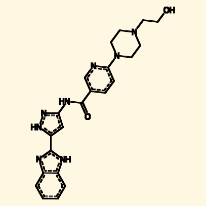 O=C(Nc1cc(-c2nc3ccccc3[nH]2)[nH]n1)c1ccc(N2CCN(CCO)CC2)nc1